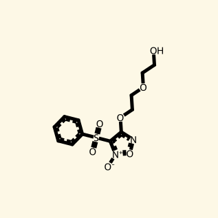 O=S(=O)(c1ccccc1)c1c(OCCOCCO)no[n+]1[O-]